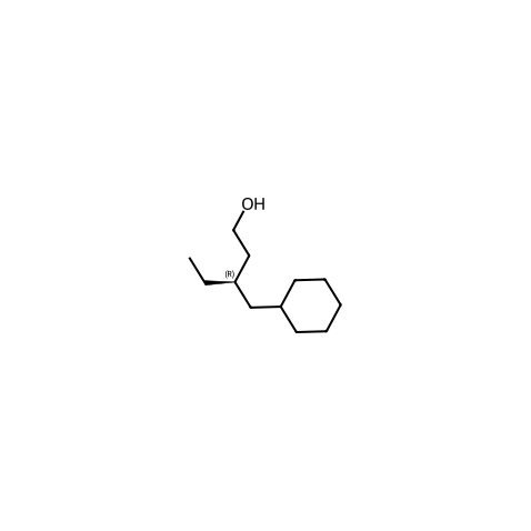 CC[C@@H](CCO)CC1CCCCC1